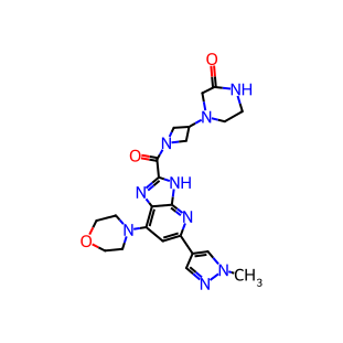 Cn1cc(-c2cc(N3CCOCC3)c3nc(C(=O)N4CC(N5CCNC(=O)C5)C4)[nH]c3n2)cn1